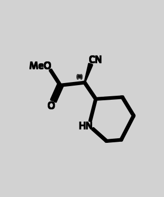 COC(=O)[C@@H](C#N)C1CCCCN1